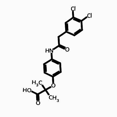 CC(C)(Oc1ccc(NC(=O)Cc2ccc(Cl)c(Cl)c2)cc1)C(=O)O